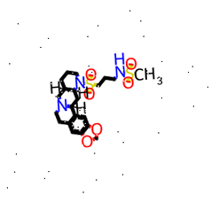 CS(=O)(=O)NCCCS(=O)(=O)N1CCC[C@@H]2CN3CCc4cc5c(cc4[C@@H]3C[C@@H]21)OCO5